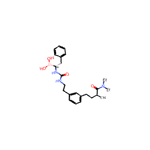 CCN(CC)C(=O)C(C#N)CCc1cccc(CCNC(=O)N[C@@H](Cc2ccccc2)B(O)O)c1